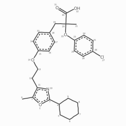 Cc1oc(C2CCCCC2)nc1CCOc1ccc(CC(C)(Oc2ccc(Cl)cc2)C(=O)O)cc1